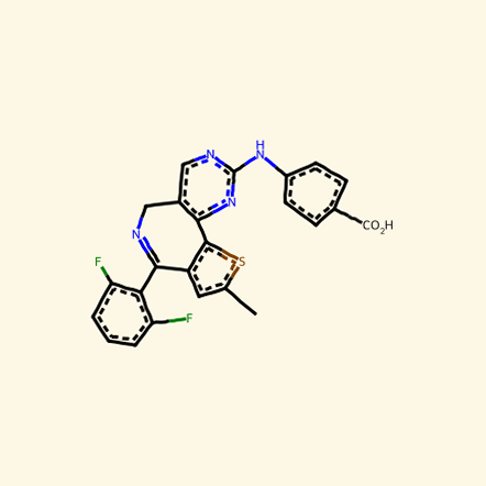 Cc1cc2c(s1)-c1nc(Nc3ccc(C(=O)O)cc3)ncc1CN=C2c1c(F)cccc1F